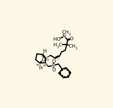 CN(O)C(=O)C(C)(C)CC/C=C\C[C@H]1[C@@H](CS(=O)(=O)Cc2ccccc2)[C@H]2CC[C@@H]1O2